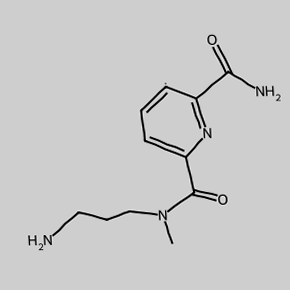 CN(CCCN)C(=O)c1cc[c]c(C(N)=O)n1